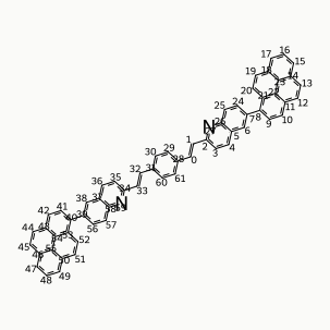 C(=C\c1ccc2cc(-c3ccc4ccc5cccc6ccc3c4c56)ccc2n1)/c1ccc(/C=C/c2ccc3cc(-c4ccc5ccc6cccc7ccc4c5c67)ccc3n2)cc1